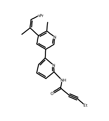 CCC#CC(=O)Nc1cccc(-c2cnc(C)c(/C(C)=C\CCC)c2)n1